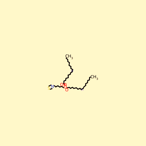 CCCCCCCC/C=C\CCCCCCCC(=O)OCC(CCCCN1CCSCC1)OC(=O)CCCCCCC/C=C\CCCCCCCC